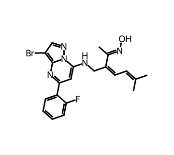 CC(C)=C/C=C(CNc1cc(-c2ccccc2F)nc2c(Br)cnn12)\C(C)=N\O